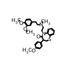 COc1ccc(C2CSc3ccccc3N(CCN(C)CCc3ccc(OC)c(OC)c3)C2=O)cc1